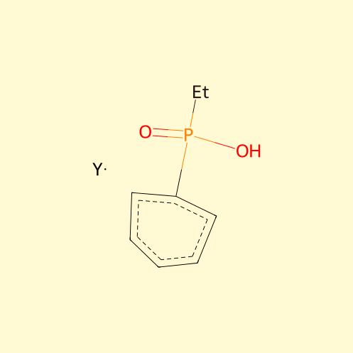 CCP(=O)(O)c1ccccc1.[Y]